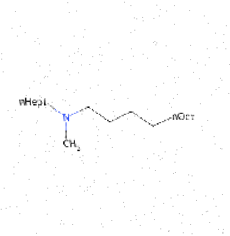 CCCCCCCCCCCCN(C)CCCCCCC